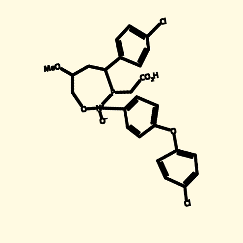 COC1CO[N+]([O-])(c2ccc(Oc3ccc(Cl)cc3)cc2)P(CC(=O)O)C(c2ccc(Cl)cc2)C1